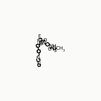 Cc1nc(C(=O)N[C@H]2CC[C@H](NC(=O)c3cc(F)cnc3Oc3cccc(-c4ccc(CCN5CCC(N6CCCC6)CC5)cc4)c3)CC2)cs1